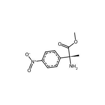 COC(=O)[C@](C)(N)c1ccc([N+](=O)[O-])cc1